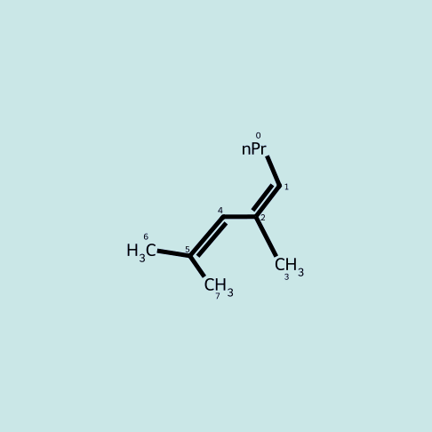 CCCC=C(C)C=C(C)C